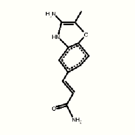 CC1=C(N)Nc2cc(/C=C/C(N)=O)ccc2O1